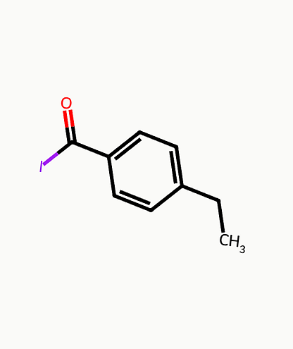 CCc1ccc(C(=O)I)cc1